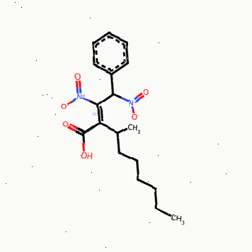 CCCCCCC(C)/C(C(=O)O)=C(\C(c1ccccc1)[N+](=O)[O-])[N+](=O)[O-]